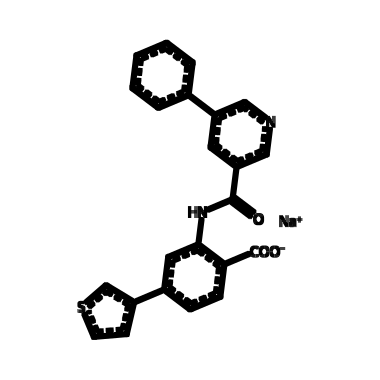 O=C(Nc1cc(-c2ccsc2)ccc1C(=O)[O-])c1cncc(-c2ccccc2)c1.[Na+]